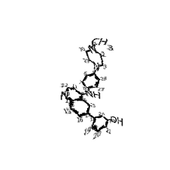 CN1CCN(c2ccc(Nc3ccnc4ccc(-c5cccc(O)c5)cc34)cc2)CC1